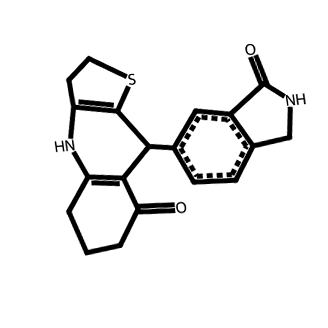 O=C1CCCC2=C1C(c1ccc3c(c1)C(=O)NC3)C1=C(CCS1)N2